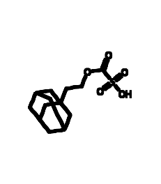 O=C(OCCC12CC3CC(CC(C3)C1)C2)S(=O)(=O)O